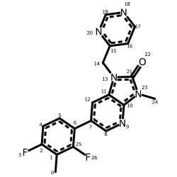 Cc1c(F)ccc(-c2cnc3c(c2)n(Cc2ccncn2)c(=O)n3C)c1F